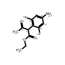 CCOC(=O)C(C(C)=O)c1c(F)cc(N)cc1F